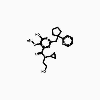 CCCCOc1c(O)nc(CC2(c3ccccn3)CCCC2)nc1C(=O)N(CCO)C1CC1